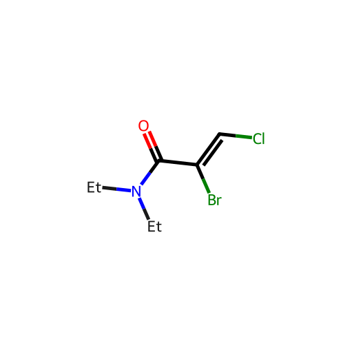 CCN(CC)C(=O)C(Br)=CCl